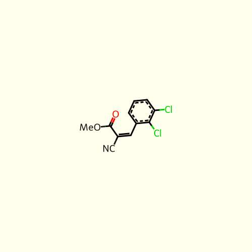 COC(=O)/C(C#N)=C\c1cccc(Cl)c1Cl